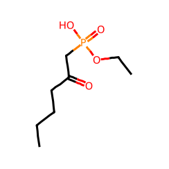 CCCCC(=O)CP(=O)(O)OCC